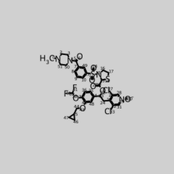 CN1CCN(C(=O)c2cccc(S(=O)(=O)N3CCSC3C(=O)OC(Cc3c(Cl)c[n+]([O-])cc3Cl)c3ccc(OC(F)F)c(OCC4CC4)c3)c2)CC1